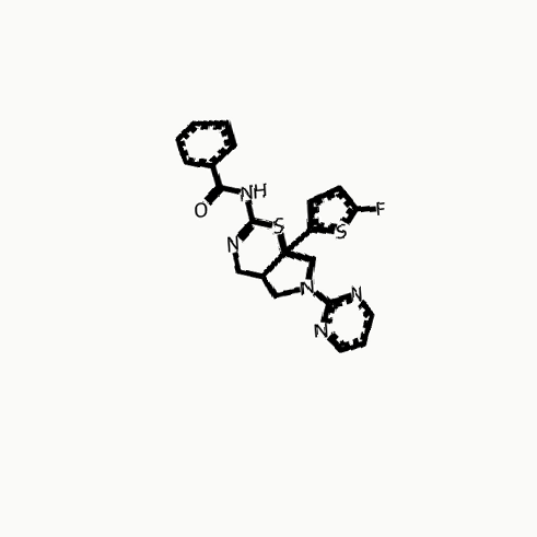 O=C(NC1=NCC2CN(c3ncccn3)CC2(c2ccc(F)s2)S1)c1ccccc1